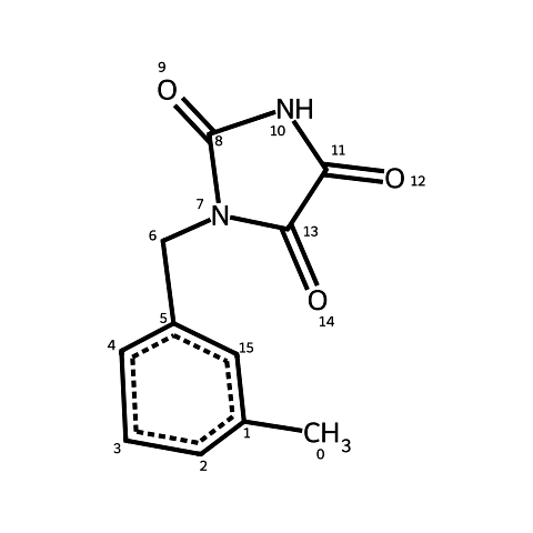 Cc1cccc(CN2C(=O)NC(=O)C2=O)c1